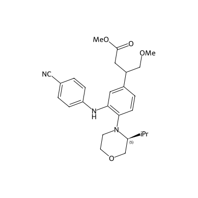 COCC(CC(=O)OC)c1ccc(N2CCOC[C@@H]2C(C)C)c(Nc2ccc(C#N)cc2)c1